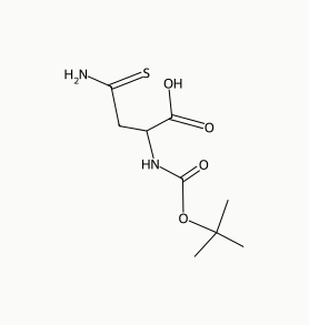 CC(C)(C)OC(=O)NC(CC(N)=S)C(=O)O